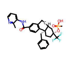 Cc1ncccc1NC(=O)c1ccc2c(c1)CC[C@@H]1C[C@@](OP(C)(=O)O)(C(F)(F)F)CC[C@@]21Cc1ccccc1